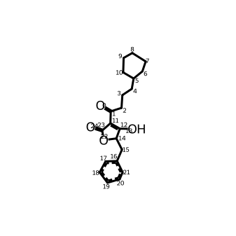 O=C(CCCC1CCCCC1)C1=C(O)C(Cc2ccccc2)OC1=O